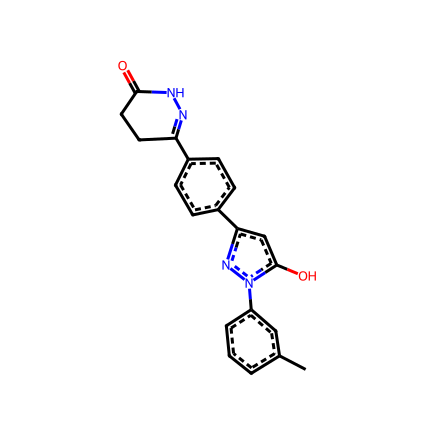 Cc1cccc(-n2nc(-c3ccc(C4=NNC(=O)CC4)cc3)cc2O)c1